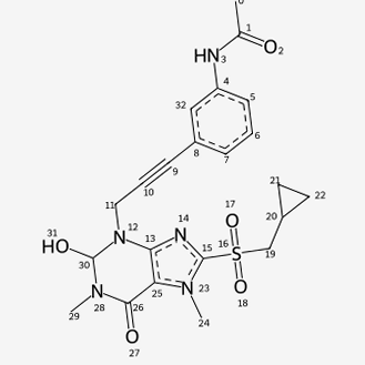 CC(=O)Nc1cccc(C#CCN2c3nc(S(=O)(=O)CC4CC4)n(C)c3C(=O)N(C)C2O)c1